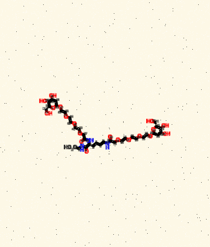 O=C(O)CNC(=O)[C@H](CCCCNC(=O)COCCOCCOCCO[C@H]1C[C@@H](O)[C@@H](O)[C@@H](CO)O1)NC(=O)COCCOCCOCCO[C@H]1C[C@@H](O)[C@@H](O)[C@@H](CO)O1